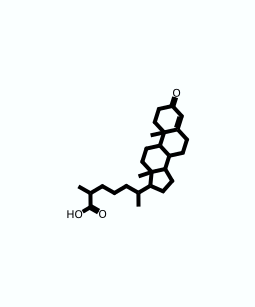 CC(CCCC(C)C1CCC2C3CCC4=CC(=O)CCC4(C)C3CCC12C)C(=O)O